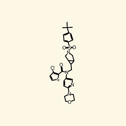 CC(C)(C)c1ccc(S(=O)(=O)N2CC3C(CN(C(=O)c4sccc4Cl)c4ccc(N5CCOCC5)nc4)C3C2)cc1